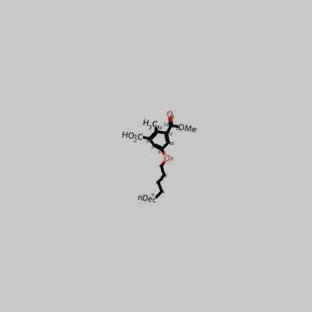 CCCCCCCCCCCCCCOc1cc(C(=O)O)c(C)c(C(=O)OC)c1